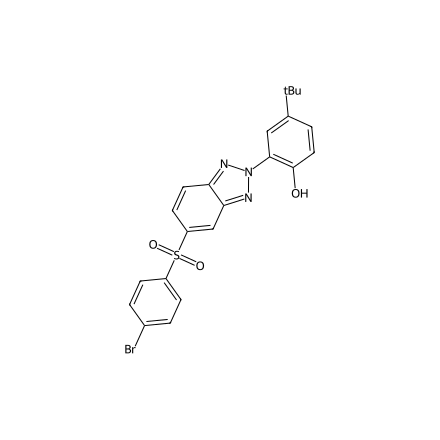 CC(C)(C)c1ccc(O)c(-n2nc3ccc(S(=O)(=O)c4ccc(Br)cc4)cc3n2)c1